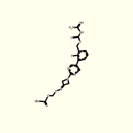 CC(C)(C)C(=O)OCON=C1CN(c2ncc(-c3cccc(COC(=O)NC(=N)N)c3F)cn2)C1